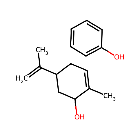 C=C(C)C1CC=C(C)C(O)C1.Oc1ccccc1